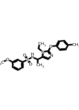 CCn1c(C(C)NS(=O)(=O)c2cccc(OC)c2)cnc1Oc1ccc(C)cc1